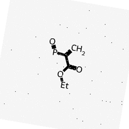 C=C(P=O)C(=O)OCC